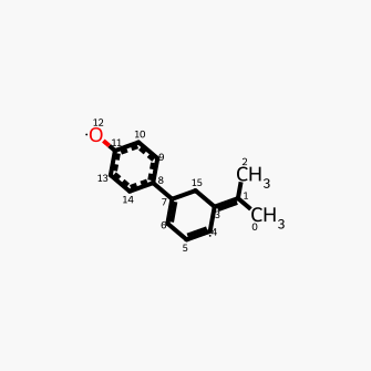 CC(C)=C1[C]=CC=C(c2ccc([O])cc2)C1